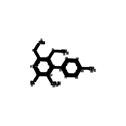 CCc1nc(CC(C)(C)C)c(CN)c(-c2ccc(C)cc2)c1C(=O)O